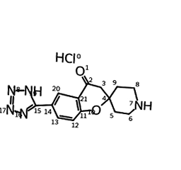 Cl.O=C1CC2(CCNCC2)Oc2ccc(-c3nnn[nH]3)cc21